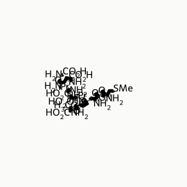 CC(C)C[C@H](N)C(=O)O.CC(C)[C@H](N)C(=O)O.CSCC[C@H](N)C(=O)OC(=O)[C@@H](N)CC(C)C.C[C@@H](OC(=O)[C@@H]1CCCN1)[C@H](N)C(=O)O.NC(=O)CC[C@H](N)C(=O)O.NCC(=O)O